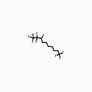 FC(CCCCCCC(F)(F)F)C(F)(F)[C](F)(F)[K]